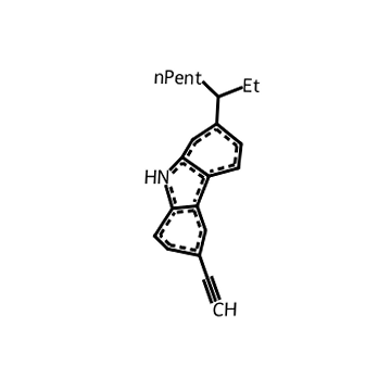 C#Cc1ccc2[nH]c3cc(C(CC)CCCCC)ccc3c2c1